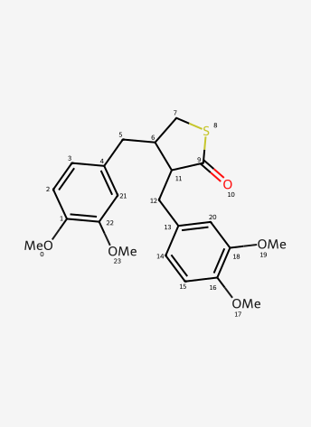 COc1ccc(CC2CSC(=O)C2Cc2ccc(OC)c(OC)c2)cc1OC